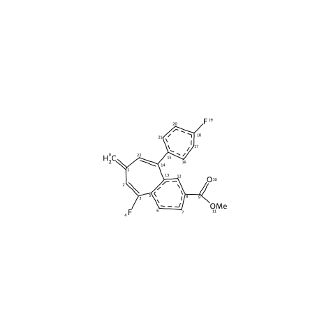 C=C1C=C(F)c2ccc(C(=O)OC)cc2C(c2ccc(F)cc2)=C1